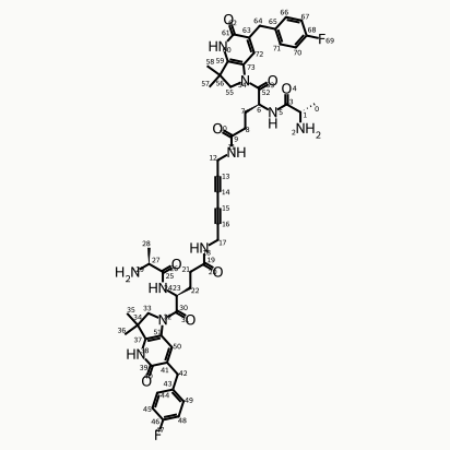 C[C@H](N)C(=O)N[C@@H](CCC(=O)NCC#CC#CCNC(=O)CC[C@H](NC(=O)[C@H](C)N)C(=O)N1CC(C)(C)c2[nH]c(=O)c(Cc3ccc(F)cc3)cc21)C(=O)N1CC(C)(C)c2[nH]c(=O)c(Cc3ccc(F)cc3)cc21